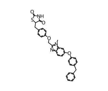 Cn1c(COc2ccc(CC3SC(=O)NC3=O)cc2)nc2ccc(Oc3ccc(Cc4ccccc4)cc3)cc21